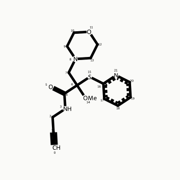 C#CCNC(=O)C(CN1CCOCC1)(OC)Sc1ccccn1